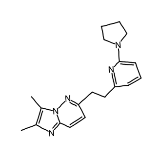 Cc1nc2ccc(CCc3cccc(N4CCCC4)n3)nn2c1C